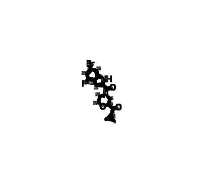 O=C(C1CC1)C1CN(C(=O)c2cc3c(F)cc(Br)cc3[nH]2)CCO1